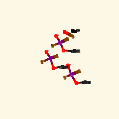 CCCCCCCCCCOP([O-])(=S)[S-].CCCCCCCCCCOP([O-])(=S)[S-].CCCCCCCCCCOP([O-])(=S)[S-].O=S.[Mo+6]